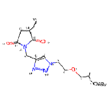 CC(C)COCCOCCn1cc(CN2C(=O)CC(C)C2=O)nn1